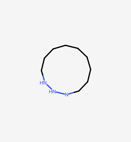 C1CCCC[N]NNCCCC1